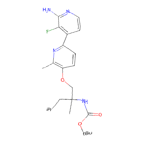 Cc1nc(-c2ccnc(N)c2F)ccc1OCC(C)(CC(C)C)NC(=O)OC(C)(C)C